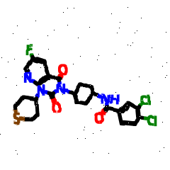 O=C(NC1CCC(n2c(=O)c3cc(F)cnc3n(C3CCSCC3)c2=O)CC1)c1ccc(Cl)c(Cl)c1